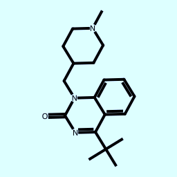 CN1CCC(Cn2c(=O)nc(C(C)(C)C)c3ccccc32)CC1